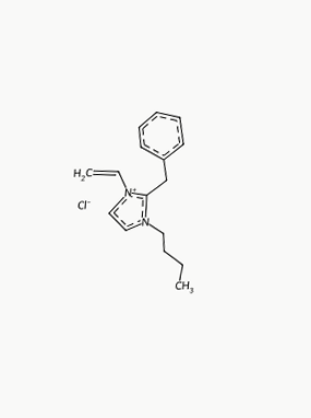 C=C[n+]1ccn(CCCC)c1Cc1ccccc1.[Cl-]